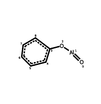 [O]=[Al][O]c1ccccc1